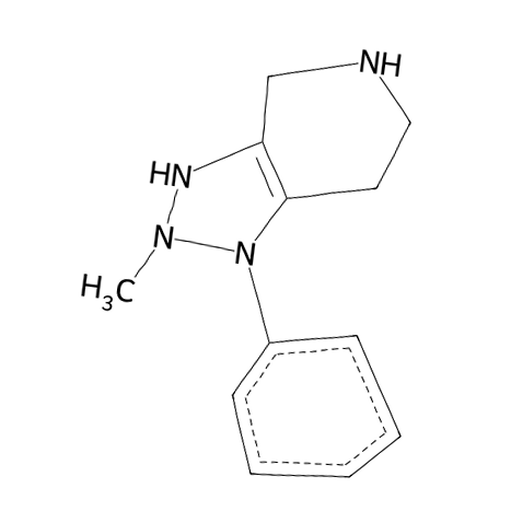 CN1NC2=C(CCNC2)N1c1ccccc1